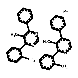 Cc1ccccc1-c1ncnc(-c2ccccc2)c1C.Cc1ccccc1-c1ncnc(-c2ccccc2)c1C.[Ir+3]